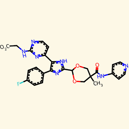 CC1(C(=O)Nc2ccncc2)COC(c2nc(-c3ccc(F)cc3)c(-c3ccnc(NCC(=O)O)n3)[nH]2)OC1